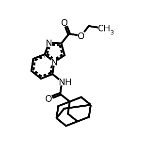 CCOC(=O)c1cn2c(NC(=O)C34CC5CC(CC(C5)C3)C4)cccc2n1